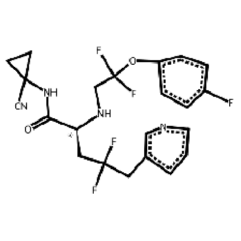 N#CC1(NC(=O)[C@H](CC(F)(F)Cc2cccnc2)NCC(F)(F)Oc2ccc(F)cc2)CC1